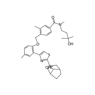 Cc1ccc(OCc2ccc(C(=O)N(C)CCC(C)(C)O)cc2C)c(-c2csc(N3CC4CCC(C3)C4C=O)n2)c1